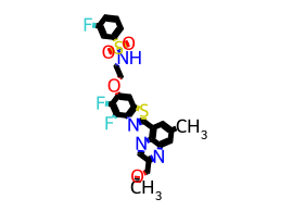 COCc1cnc2c(-c3nc4c(F)c(F)c(OCCNS(=O)(=O)c5cccc(F)c5)cc4s3)cc(C)cc2n1